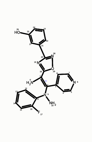 N/C(=C(/c1ccncc1)N(N)c1ccccc1F)c1nc(-c2cccc(O)c2)no1